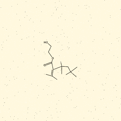 CC(C)=C(C(=O)OCCO)C(C)(C)CC(C)(C)C